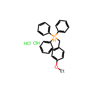 CCOc1ccc(C[PH](c2ccccc2)(c2ccccc2)c2ccccc2)cc1.Cl.Cl